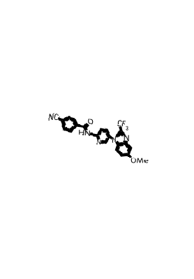 COc1ccc2c(c1)nc(C(F)(F)F)n2-c1ccc(NC(=O)c2ccc(C#N)cc2)nc1